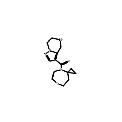 O=C(c1cnn2c1CNCC2)N1CCOCCC12CC2